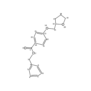 O=C(OCc1ccccc1)c1ccc(OCC2CCCO2)cc1